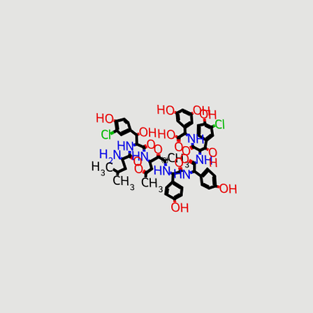 CC(=O)CC(NC(=O)C(NC(=O)C(N)CC(C)C)C(O)c1ccc(O)c(Cl)c1)C(=O)[C@@H](C)NC(C(=O)NC(C(=O)NC(C(=O)NC(C(=O)O)c1cc(O)cc(O)c1)C(O)c1ccc(O)c(Cl)c1)c1ccc(O)cc1)c1ccc(O)cc1